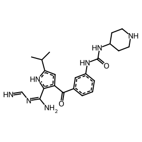 CC(C)c1cc(C(=O)c2cccc(NC(=O)NC3CCNCC3)c2)c(/C(N)=N\C=N)[nH]1